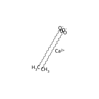 CCCCCCCCCCCCCCCCCCCCCCCCCCC(=O)[O-].CCCCCCCCCCCCCCCCCCCCCCCCCCC(=O)[O-].[Ca+2]